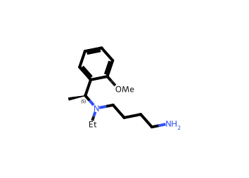 CCN(CCCCN)[C@@H](C)c1ccccc1OC